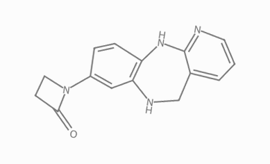 O=C1CCN1c1ccc2c(c1)NCc1cccnc1N2